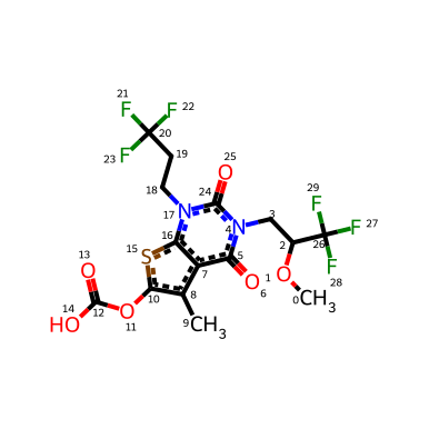 COC(Cn1c(=O)c2c(C)c(OC(=O)O)sc2n(CCC(F)(F)F)c1=O)C(F)(F)F